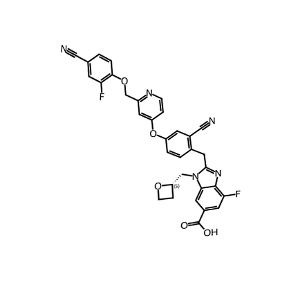 N#Cc1ccc(OCc2cc(Oc3ccc(Cc4nc5c(F)cc(C(=O)O)cc5n4C[C@@H]4CCO4)c(C#N)c3)ccn2)c(F)c1